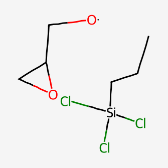 CCC[Si](Cl)(Cl)Cl.[O]CC1CO1